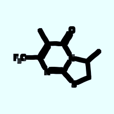 Cc1c(C(F)(F)F)nc2n(c1=O)C(C)CS2